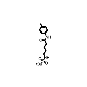 CC(C)(C)S(=O)(=O)NCCCCC(=O)Nc1ccc(I)cc1